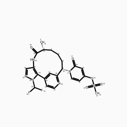 C[C@@H]1CCC[C@H](n2ccc(OS(C)(=O)=O)cc2=O)c2cc(ccn2)-c2c(cnn2C(F)F)NC1=O